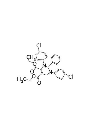 CCOC(=O)C1=C(C(=O)OCC)N(c2ccc(Cl)cc2)C(c2ccccc2)N(c2ccc(Cl)cc2)C1